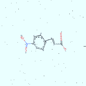 [O]C(=O)C=Cc1ccc([N+](=O)[O-])cc1